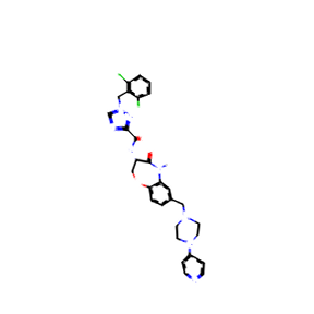 CN1C(=O)[C@@H](NC(=O)c2ncn(Cc3c(Cl)cccc3Cl)n2)COc2ccc(CN3CCN(c4ccncc4)CC3)cc21